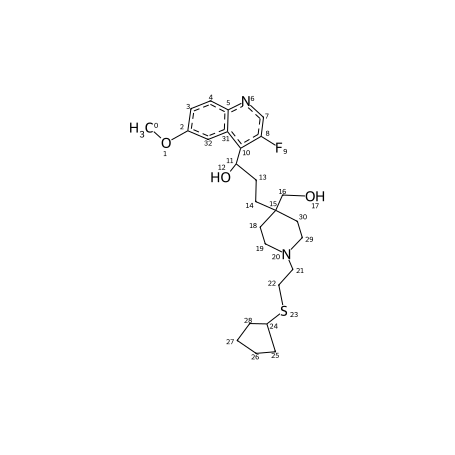 COc1ccc2ncc(F)c(C(O)CCC3(CO)CCN(CCSC4CCCC4)CC3)c2c1